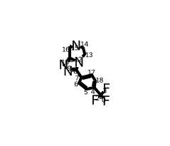 FC(F)(F)c1ccc(-c2nnc3n2CC[N]C3)cc1